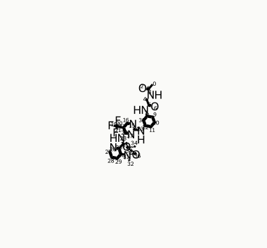 CC(=O)NCC(=O)Nc1cccc(Nc2ncc(C(F)(F)F)c(NCc3ncccc3N(C)S(C)(=O)=O)n2)c1